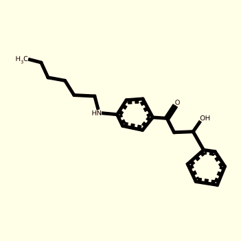 CCCCCCNc1ccc(C(=O)CC(O)c2ccccc2)cc1